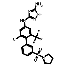 Nc1nc(Nc2cc(Cl)c(-c3cccc(S(=O)(=O)N4CCCC4)c3)c(C(F)(F)F)c2)n[nH]1